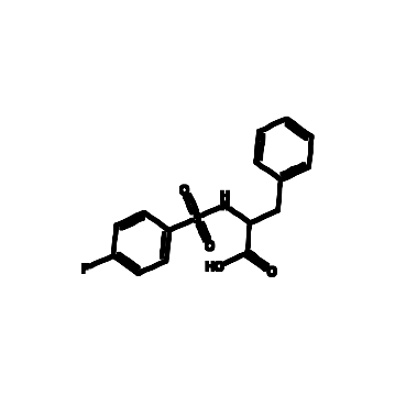 O=C(O)C(Cc1ccccc1)NS(=O)(=O)c1ccc(F)cc1